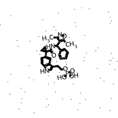 Cc1noc(C)c1C(NC(=O)C1(c2ccc3[nH]cc(CCOP(=O)(O)O)c3c2)CC1)c1ccccc1